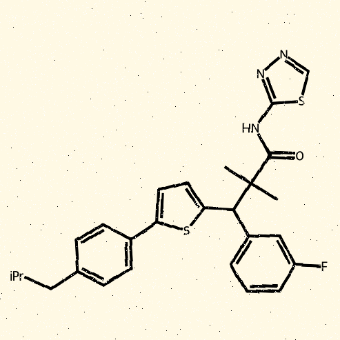 CC(C)Cc1ccc(-c2ccc(C(c3cccc(F)c3)C(C)(C)C(=O)Nc3nncs3)s2)cc1